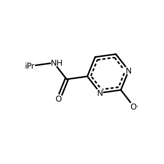 CC(C)NC(=O)c1ccnc([O])n1